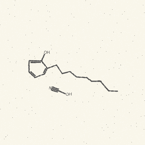 CCCCCCCCCc1ccccc1O.N#CO